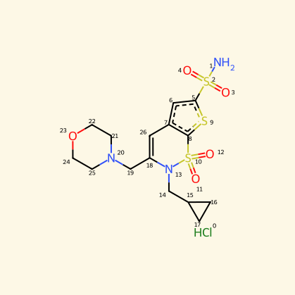 Cl.NS(=O)(=O)c1cc2c(s1)S(=O)(=O)N(CC1CC1)C(CN1CCOCC1)=C2